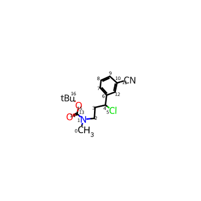 CN(CCC(Cl)c1cccc(C#N)c1)C(=O)OC(C)(C)C